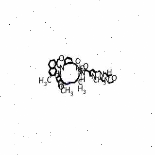 CO[C@H]1/C=C/C[C@H](C)C[S@@](=O)(NC(=O)c2cc(CN3CCN4CCOC[C@@H]4C3)n(C)c2)=NC(=O)c2ccc3c(c2)N(C[C@@H]2CC[C@H]21)C[C@@]1(CCCc2cc(C)ccc21)CO3